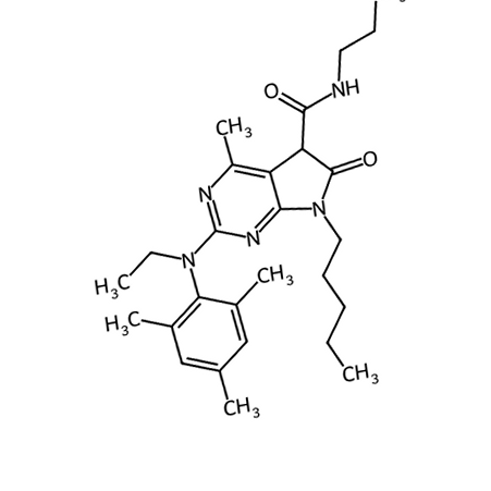 CCCCCN1C(=O)C(C(=O)NCCC)c2c(C)nc(N(CC)c3c(C)cc(C)cc3C)nc21